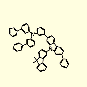 CC1(C)c2ccccc2-c2cc(-n3c4cc(-c5ccccc5)ccc4c4ccc(-c5cccc(N(c6cccc(-c7ccccc7)c6)c6cccc(-c7ccccc7)c6)c5)cc43)ccc21